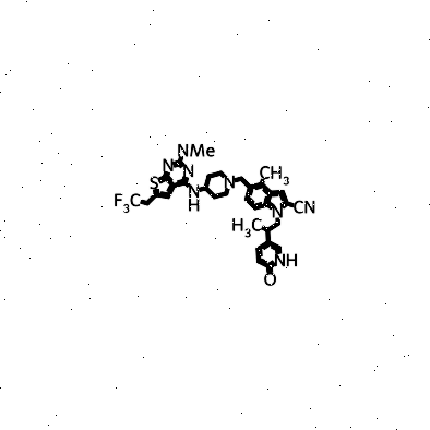 CNc1nc(NC2CCN(Cc3ccc4c(cc(C#N)n4CC(C)c4ccc(=O)[nH]c4)c3C)CC2)c2cc(CC(F)(F)F)sc2n1